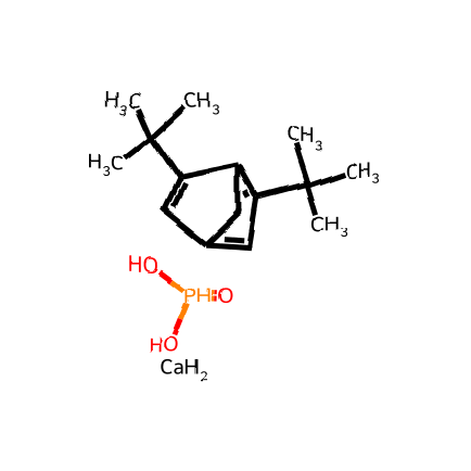 CC(C)(C)C1=CC2=CC(C(C)(C)C)=C1C2.O=[PH](O)O.[CaH2]